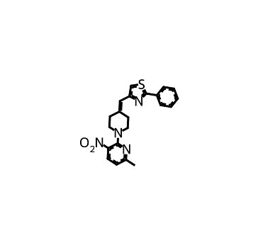 Cc1ccc([N+](=O)[O-])c(N2CCC(=Cc3csc(-c4ccccc4)n3)CC2)n1